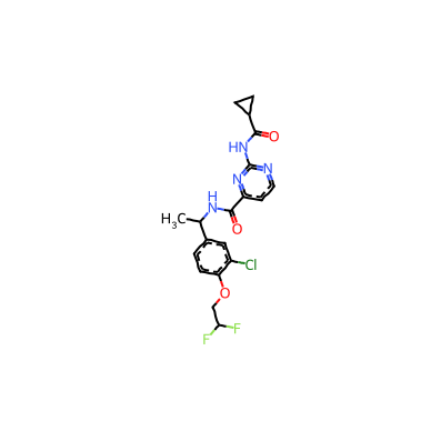 CC(NC(=O)c1ccnc(NC(=O)C2CC2)n1)c1ccc(OCC(F)F)c(Cl)c1